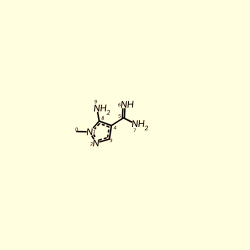 Cn1ncc(C(=N)N)c1N